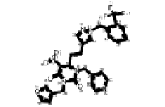 O=c1c([N+](=O)[O-])c(C=Cc2cnn(Cc3ccccc3C(F)(F)F)c2)n(Cc2ccncc2)c(=O)n1Cc1ccoc1